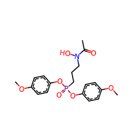 COc1ccc(OP(=O)(CCCN(O)C(C)=O)Oc2ccc(OC)cc2)cc1